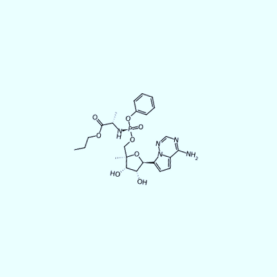 CCCOC(=O)[C@H](C)N[P@@](=O)(OC[C@@]1(C)O[C@@H](c2ccc3c(N)ncnn23)[C@H](O)[C@@H]1O)Oc1ccccc1